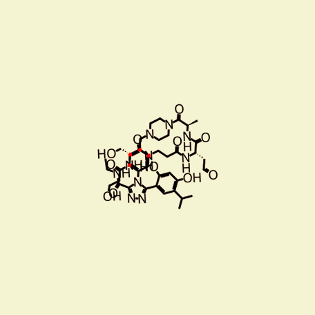 CCNC(=O)c1nnc(-c2cc(C(C)C)c(O)cc2O)n1-c1ccc(CN2CCN(C(=O)[C@@H](C)NC(=O)[C@H](CC=O)NC(=O)CCNC(=O)[C@@H](CO)NC(=O)CCO)CC2)cc1